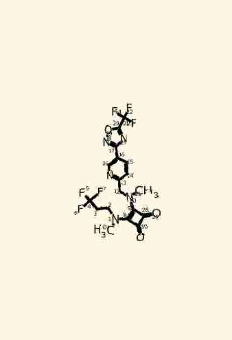 CN(CCC(F)(F)F)c1c(N(C)Cc2ccc(-c3noc(C(F)(F)F)n3)cn2)c(=O)c1=O